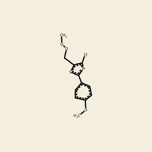 COOCc1sc(-c2ccc(OC)cc2)nc1Cl